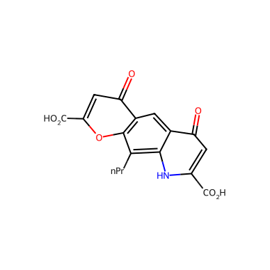 CCCc1c2[nH]c(C(=O)O)cc(=O)c2cc2c(=O)cc(C(=O)O)oc12